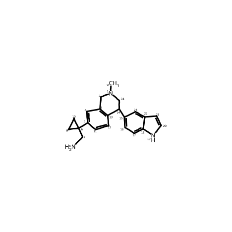 CN1Cc2cc(C3(CN)CC3)ccc2C(c2ccc3[nH]ccc3c2)C1